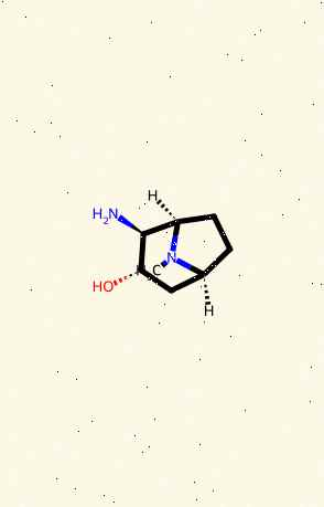 CN1[C@H]2CC[C@@H]1[C@H](N)[C@@H](O)C2